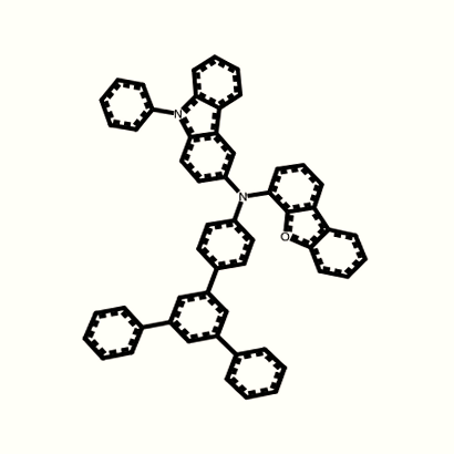 c1ccc(-c2cc(-c3ccccc3)cc(-c3ccc(N(c4ccc5c(c4)c4ccccc4n5-c4ccccc4)c4cccc5c4oc4ccccc45)cc3)c2)cc1